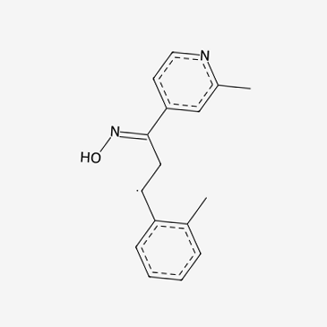 Cc1cc(/C(C[CH]c2ccccc2C)=N/O)ccn1